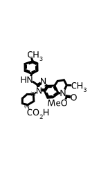 COC(=O)N1c2ccc3c(nc(Nc4ccc(C)cc4)n3[C@@H]3CCC[C@@H](C(=O)O)C3)c2CCC1C